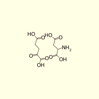 NC(CC(=O)O)C(=O)O.O=C(O)CCC(=O)C(=O)O